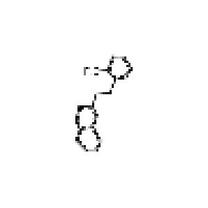 FC(F)(F)c1ccccc1CCc1ccc2ccccc2c1